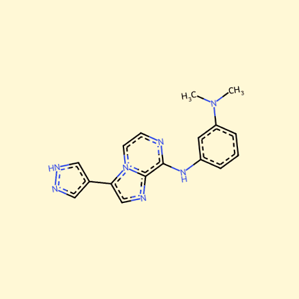 CN(C)c1cccc(Nc2nccn3c(-c4cn[nH]c4)cnc23)c1